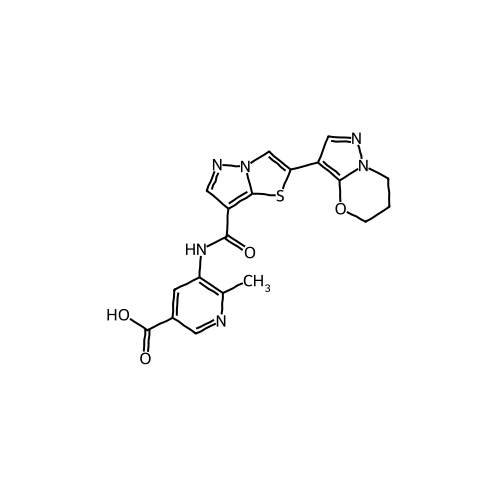 Cc1ncc(C(=O)O)cc1NC(=O)c1cnn2cc(-c3cnn4c3OCCC4)sc12